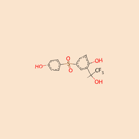 CC(O)(c1cc(S(=O)(=O)c2ccc(O)cc2)ccc1O)C(F)(F)F